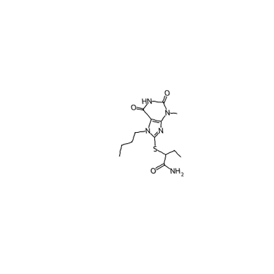 CCCCn1c(SC(CC)C(N)=O)nc2c1c(=O)[nH]c(=O)n2C